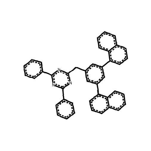 c1ccc(-c2nc(Cc3cc(-c4cccc5ccccc45)cc(-c4cccc5ccccc45)c3)nc(-c3ccccc3)n2)cc1